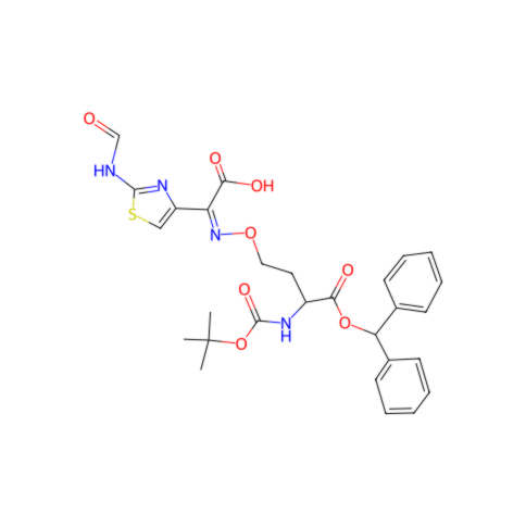 CC(C)(C)OC(=O)NC(CCON=C(C(=O)O)c1csc(NC=O)n1)C(=O)OC(c1ccccc1)c1ccccc1